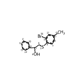 Cc1ccc(SCC(O)c2ccccc2)c(Br)c1